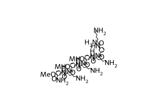 COc1ccc(NC(=O)[C@H](CCCCN)NC(=O)c2cc(NC(=O)[C@H](CCCCN)NC(=O)c3cc(NC(=O)[C@H](CCCCN)NC(=O)c4cccc(NC(=O)[C@@H](N)CCCCN)c4)ccc3OC)ccc2OC)cc1C(N)=O